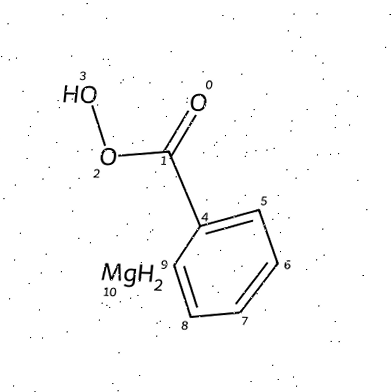 O=C(OO)c1ccccc1.[MgH2]